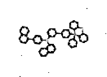 c1ccc([Si]2(c3ccc(-c4cccc(N(c5ccc(-c6cccc7ccccc67)cc5)c5cccc6ccccc56)c4)cc3)c3ccccc3Oc3ccccc32)cc1